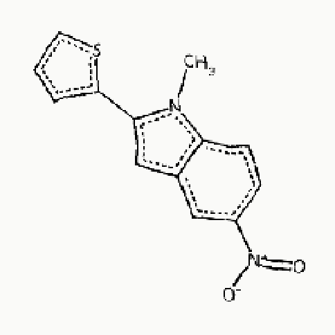 Cn1c(-c2cccs2)cc2cc([N+](=O)[O-])ccc21